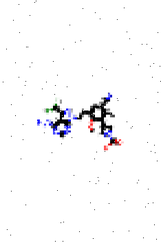 COc1c(CCn2nc(C(F)F)c3c(N)ncnc32)cc(C#N)c(C)c1C1CN(C(=O)O)C1